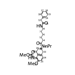 CCCN(C(=O)CCCCCNC(=O)Cc1ccccc1)[C@H]1CCc2c(ccc(OC)c2NC(=O)OC)C1